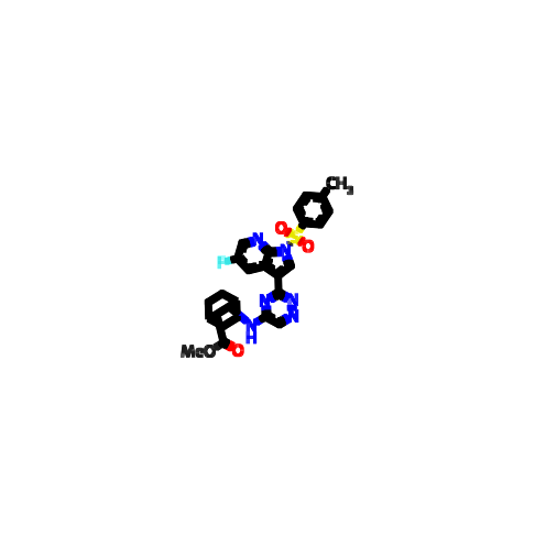 COC(=O)C1C2CCC(CC2)C1Nc1cnnc(-c2cn(S(=O)(=O)c3ccc(C)cc3)c3ncc(F)cc23)n1